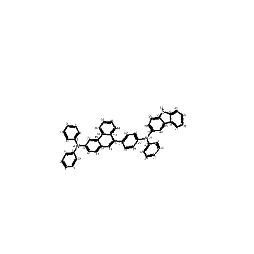 c1ccc(N(c2ccccc2)c2ccc3cc(-c4ccc(N(c5ccccc5)c5ccc6sc7ccccc7c6c5)cc4)c4ccccc4c3c2)cc1